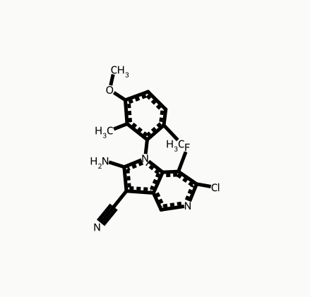 COc1ccc(C)c(-n2c(N)c(C#N)c3cnc(Cl)c(F)c32)c1C